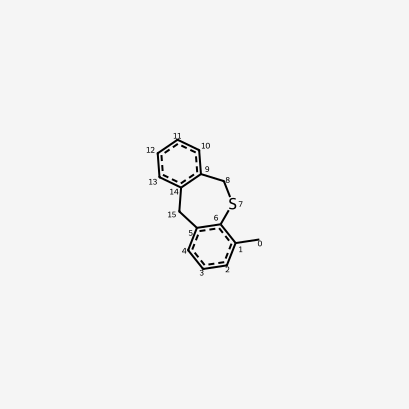 Cc1cccc2c1SCc1ccccc1C2